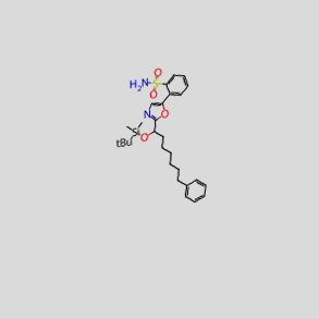 CC(C)(C)[Si](C)(C)OC(CCCCCCc1ccccc1)c1ncc(-c2ccccc2S(N)(=O)=O)o1